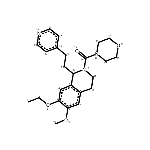 CCOc1cc2c(cc1OC)CCN(C(=O)N1CCOCC1)C2CCc1ccncc1